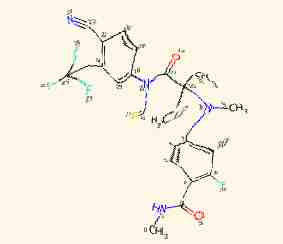 CNC(=O)c1ccc(N(C)C(C)(C)C(=O)N(C=S)c2ccc(C#N)c(C(F)(F)F)c2)cc1F